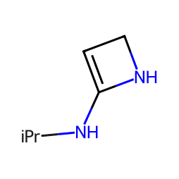 CC(C)NC1=CCN1